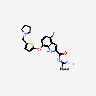 CNC(N)=NC(=O)c1cc2c(Cl)ccc(Oc3ccc(CN4CCCC4)s3)c2[nH]1